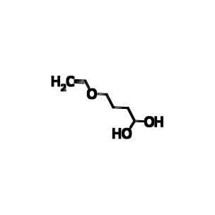 C=COCCCC(O)O